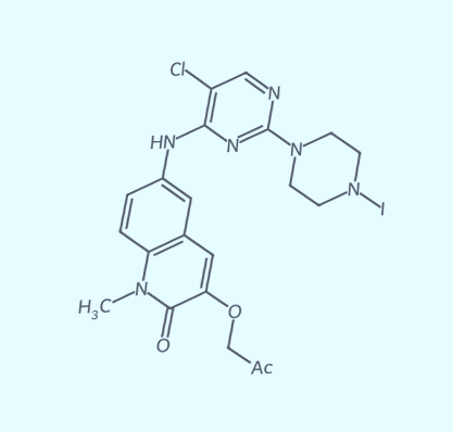 CC(=O)COc1cc2cc(Nc3nc(N4CCN(I)CC4)ncc3Cl)ccc2n(C)c1=O